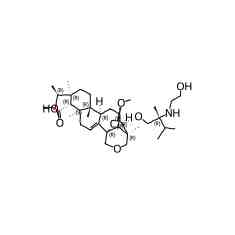 CO[C@@H]1C[C@@]23COC[C@@](C)([C@@H]2CC[C@H]2C3=CC[C@@]3(C)[C@H](C(=O)O)[C@@](C)([C@H](C)C(C)C)CC[C@]23C)[C@H]1OC[C@](C)(NCCO)C(C)C